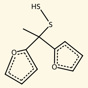 CC(SS)(c1ccco1)c1ccco1